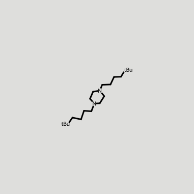 CC(C)(C)CCCCN1CCN(CCCCC(C)(C)C)CC1